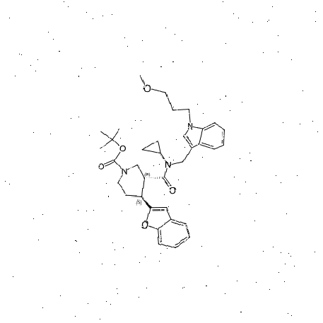 COCCCn1cc(CN(C(=O)[C@H]2CN(C(=O)OC(C)(C)C)CC[C@@H]2c2cc3ccccc3o2)C2CC2)c2ccccc21